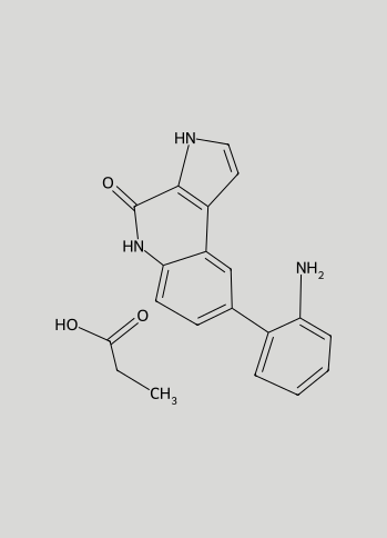 CCC(=O)O.Nc1ccccc1-c1ccc2[nH]c(=O)c3[nH]ccc3c2c1